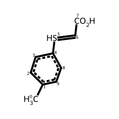 Cc1ccc([SH]=CC(=O)O)cc1